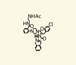 CC(=O)NCCNC(=O)c1ccccc1N1CCN(C(=O)[C@@H](Cc2ccc(Cl)cc2)NC(=O)[C@@H]2Cc3ccccc3CN2)CC1